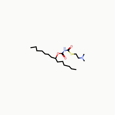 CCCCCCCC(CCCCCC)OC(=O)NC(=O)SCCN(C)C